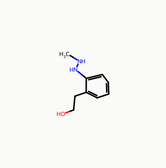 CNNc1ccccc1CCO